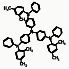 Cc1ccc(N(c2ccccc2)c2ccc(N(c3ccc(N(c4ccccc4)c4ccc(C)cc4C)cc3)c3ccc(N(c4ccccc4)c4ccc(C)cc4C)cc3)cc2)c(C)c1